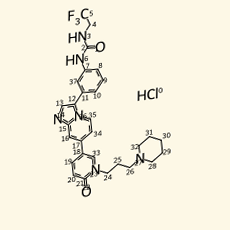 Cl.O=C(NCC(F)(F)F)Nc1cccc(-c2cnc3cc(-c4ccc(=O)n(CCCN5CCCCC5)c4)ccn23)c1